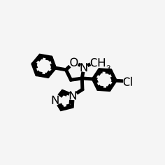 CN1OC(c2ccccc2)CC1(Cn1ccnc1)c1ccc(Cl)cc1